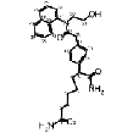 NC(=O)CCCCCC(C(N)=O)c1ccc(CC(=O)N(CCO)c2cccc3ccccc23)cc1